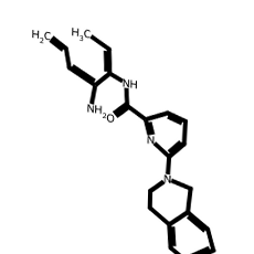 C=C/C=C(N)\C(=C/C)NC(=O)c1cccc(N2CCc3ccccc3C2)n1